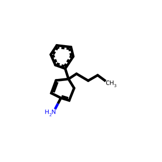 CCCCC1(c2ccccc2)C=CC(N)=CC1